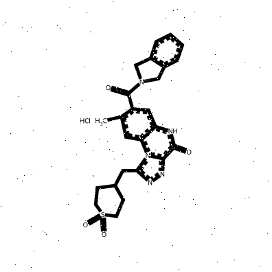 Cc1cc2c(cc1C(=O)N1Cc3ccccc3C1)[nH]c(=O)c1nnc(CC3CCS(=O)(=O)CC3)n12.Cl